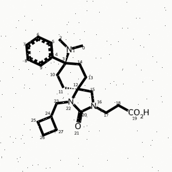 CN(C)[C@]1(c2ccccc2)CC[C@]2(CC1)CN(CCC(=O)O)C(=O)N2CC1CCC1